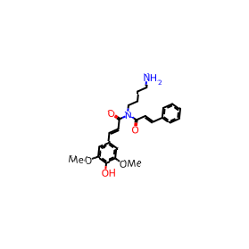 COc1cc(/C=C/C(=O)N(CCCCN)C(=O)C=Cc2ccccc2)cc(OC)c1O